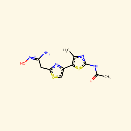 CC(=O)Nc1nc(C)c(-c2csc(C/C(N)=N\O)n2)s1